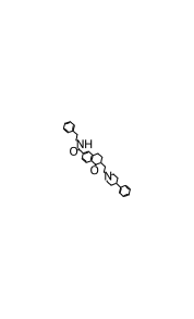 O=C(NCCc1ccccc1)c1ccc2c(c1)CCC(CCN1CCC(c3ccccc3)CC1)C2=O